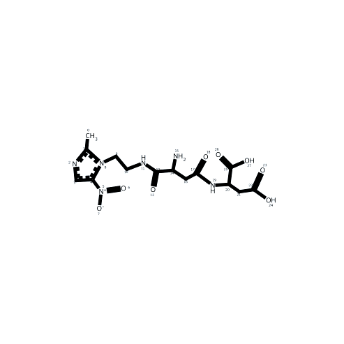 Cc1ncc([N+](=O)[O-])n1CCNC(=O)C(N)CC(=O)NC(CC(=O)O)C(=O)O